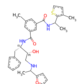 Cc1cc(C(=O)NC(C)c2sccc2C)cc(C(=O)N[C@@H](Cc2ccccc2)[C@H](O)CNC(C)c2ccco2)c1